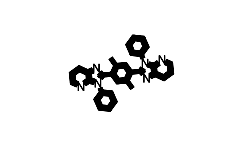 Cc1cc(-c2nc3cccnc3n2-c2ccccc2)c(C)cc1-c1nc2cccnc2n1-c1ccccc1